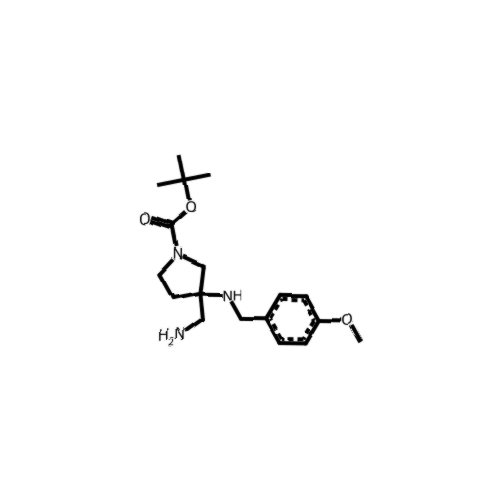 COc1ccc(CNC2(CN)CCN(C(=O)OC(C)(C)C)C2)cc1